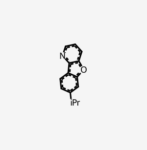 CC(C)c1ccc2c(c1)oc1cccnc12